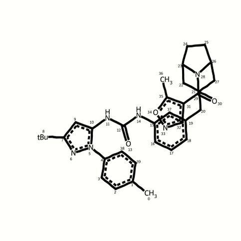 Cc1ccc(-n2nc(C(C)(C)C)cc2NC(=O)Nc2cccc(CC3CC4CCC(C3)N4C(=O)c3cnoc3C)c2)cc1